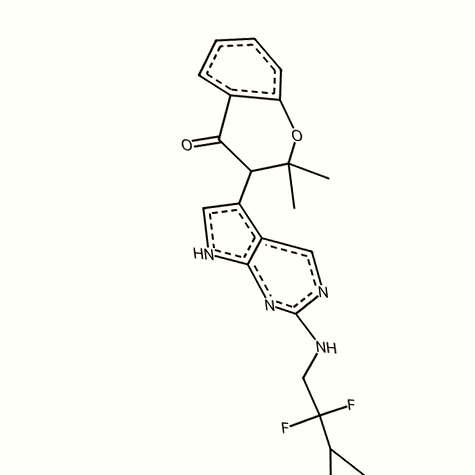 CC1(C)Oc2ccccc2C(=O)C1c1c[nH]c2nc(NCC(F)(F)C3CC3)ncc12